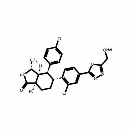 CC[C@@]12CC[C@@H](c3ccc(-c4nnc(COC)o4)cc3Cl)[C@H](c3ccc(Cl)cc3)[C@@H]1[C@@H](C)NC2=O